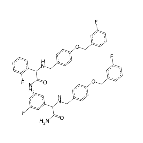 NC(=O)C(NCc1ccc(OCc2cccc(F)c2)cc1)c1cccc(F)c1.NC(=O)C(NCc1ccc(OCc2cccc(F)c2)cc1)c1ccccc1F